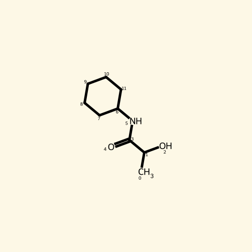 CC(O)C(=O)NC1CCCCC1